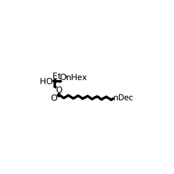 CCCCCCCCCCCCCCCCCCCCCC(=O)OCC(O)(CC)COCCCCCC